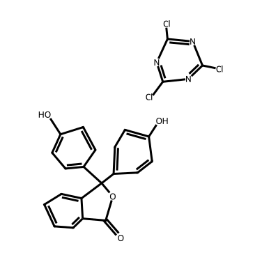 Clc1nc(Cl)nc(Cl)n1.O=C1OC(c2ccc(O)cc2)(c2ccc(O)cc2)c2ccccc21